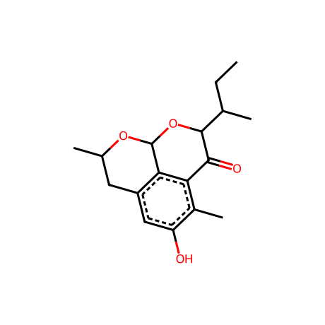 CCC(C)C1OC2OC(C)Cc3cc(O)c(C)c(c32)C1=O